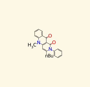 CCCCc1cc2c(c(=O)c3ccccc3n2C)c(=O)n1-c1ccccc1